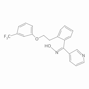 ON=C(c1cccnc1)c1ccccc1CCOc1cccc(C(F)(F)F)c1